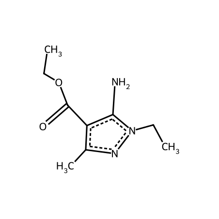 CCOC(=O)c1c(C)nn(CC)c1N